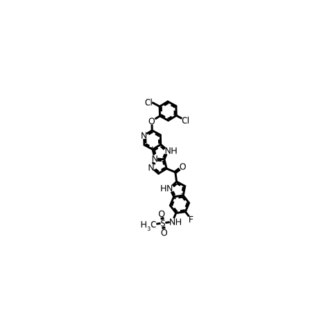 CS(=O)(=O)Nc1cc2[nH]c(C(=O)c3cnn4c3[nH]c3cc(Oc5cc(Cl)ccc5Cl)ncc34)cc2cc1F